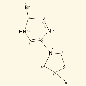 BrC1C=NC(N2CC3CC3C2)=CN1